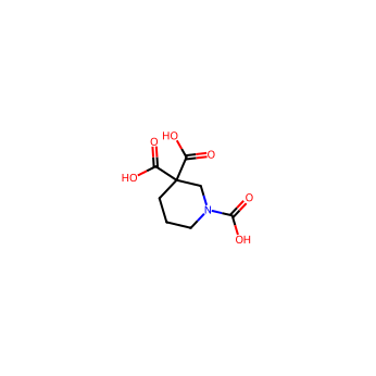 O=C(O)N1CCCC(C(=O)O)(C(=O)O)C1